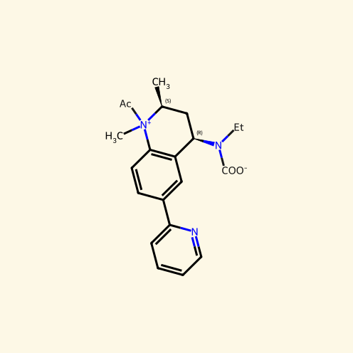 CCN(C(=O)[O-])[C@@H]1C[C@H](C)[N+](C)(C(C)=O)c2ccc(-c3ccccn3)cc21